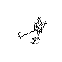 CC(CCn1nc(Br)c2c(N(C(=O)OC(C)(C)C)C(=O)OC(C)(C)C)ncc(/C=C/CCCCCC(=O)O)c21)NC(=O)OC(C)(C)C